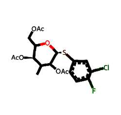 CC(=O)OCC1O[C@H](Sc2ccc(F)c(Cl)c2)C(OC(C)=O)C(C)[C@H]1OC(C)=O